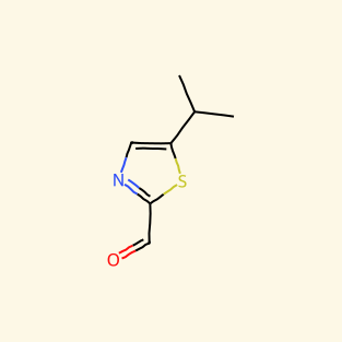 CC(C)c1cnc(C=O)s1